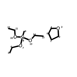 C1CCOC1.CCO[Si](C)(OCC)OCC